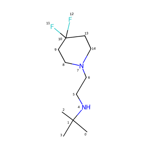 CC(C)(C)NCCN1CCC(F)(F)CC1